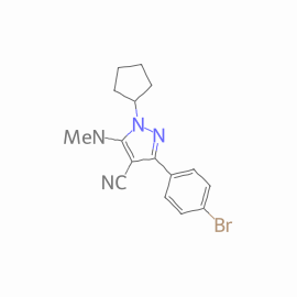 CNc1c(C#N)c(-c2ccc(Br)cc2)nn1C1CCCC1